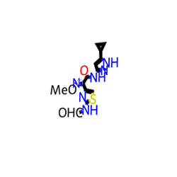 CO/N=C(/C(=O)Nc1cc(C2CC2)[nH]n1)c1csc(NC=O)n1